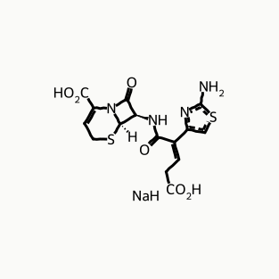 Nc1nc(/C(=C/CC(=O)O)C(=O)N[C@@H]2C(=O)N3C(C(=O)O)=CCS[C@H]23)cs1.[NaH]